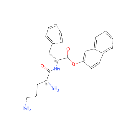 NCCC[C@@H](N)C(=O)N[C@H](Cc1ccccc1)C(=O)Oc1ccc2ccccc2c1